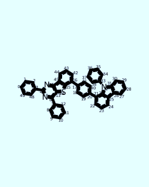 c1ccc(-c2nc(-c3ccccc3)c3sc4c(-c5ccc(-c6cccc7c8ccccc8n(-c8ccccc8)c67)cc5)cccc4c3n2)cc1